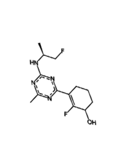 Cc1nc(N[C@@H](C)CF)nc(C2=C(F)C(O)CCC2)n1